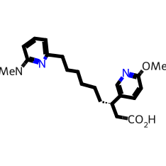 CNc1cccc(CCCCCC[C@@H](CC(=O)O)c2ccc(OC)nc2)n1